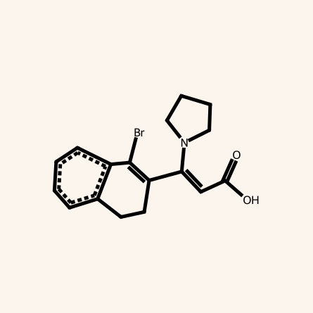 O=C(O)C=C(C1=C(Br)c2ccccc2CC1)N1CCCC1